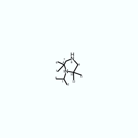 CC(C)N1C(C)(C)CNCC1(C)C